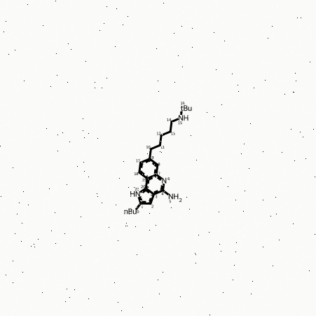 CCCCc1cc2c(N)nc3cc(CCCCCNC(C)(C)C)ccc3c2[nH]1